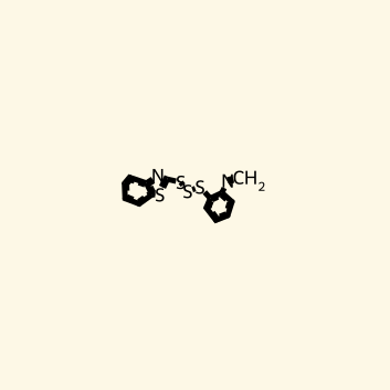 C=Nc1ccccc1SSSc1nc2ccccc2s1